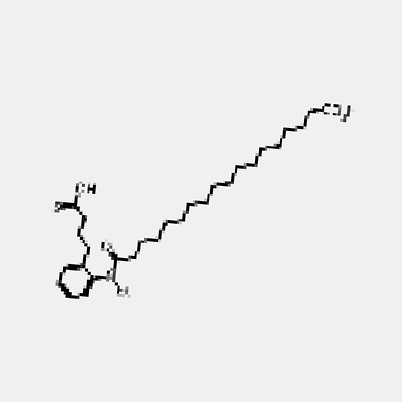 CCN(C(=O)CCCCCCCCCCCCCCCCC(=O)O)c1ccccc1CCCC(O)=S